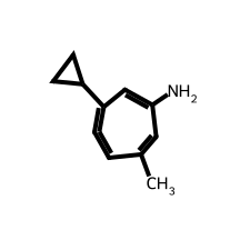 CC1=CC(N)=CC(C2CC2)=C=C1